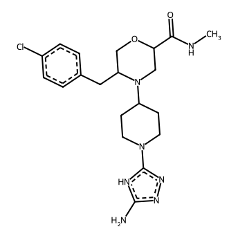 CNC(=O)C1CN(C2CCN(c3nnc(N)[nH]3)CC2)C(Cc2ccc(Cl)cc2)CO1